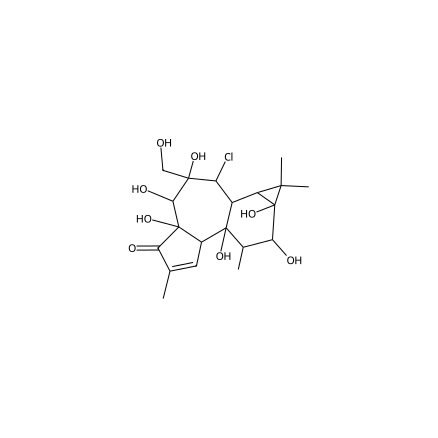 CC1=CC2C(O)(C1=O)C(O)C(O)(CO)C(Cl)C1C3C(C)(C)C3(O)C(O)C(C)C12O